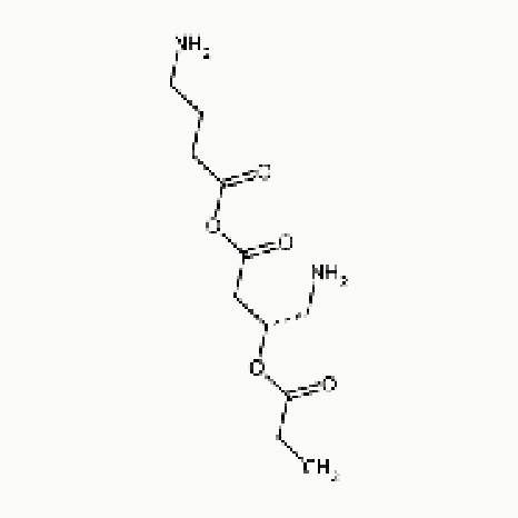 CCC(=O)O[C@@H](CN)CC(=O)OC(=O)CCCN